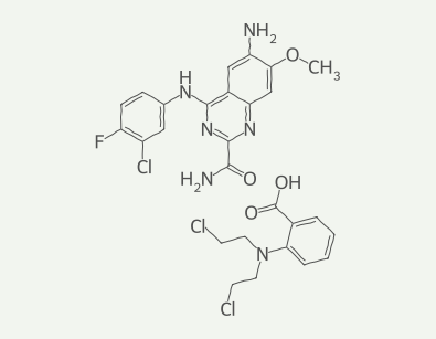 COc1cc2nc(C(N)=O)nc(Nc3ccc(F)c(Cl)c3)c2cc1N.O=C(O)c1ccccc1N(CCCl)CCCl